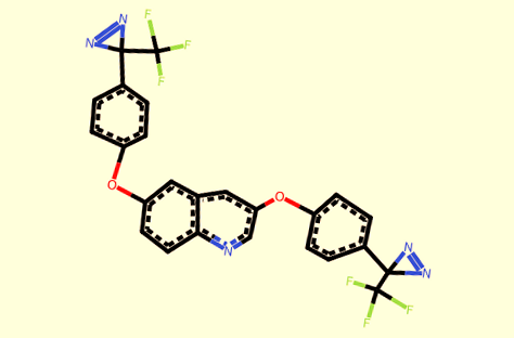 FC(F)(F)C1(c2ccc(Oc3ccc4ncc(Oc5ccc(C6(C(F)(F)F)N=N6)cc5)cc4c3)cc2)N=N1